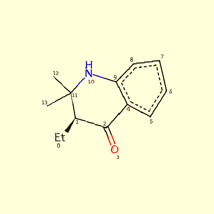 CC[C@@H]1C(=O)c2ccccc2NC1(C)C